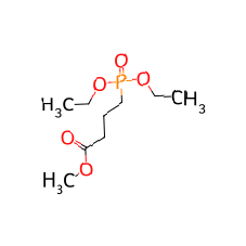 CCOP(=O)(CCCC(=O)OC)OCC